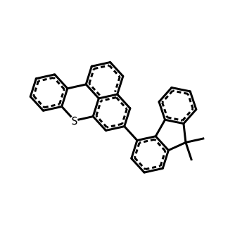 CC1(C)c2ccccc2-c2c(-c3cc4c5c(cccc5c3)-c3ccccc3S4)cccc21